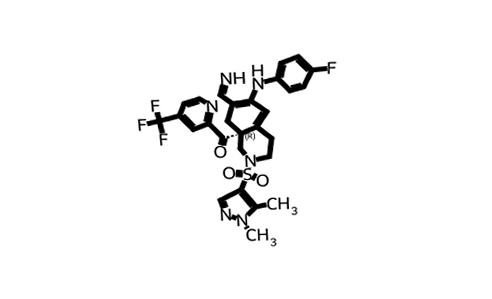 Cc1c(S(=O)(=O)N2CCC3=CC(Nc4ccc(F)cc4)=C(C=N)C[C@]3(C(=O)c3cc(C(F)(F)F)ccn3)C2)cnn1C